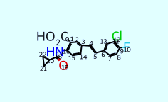 O=C(O)c1cc(C=Cc2ccc(F)c(Cl)c2)ccc1NC(=O)C1CC1